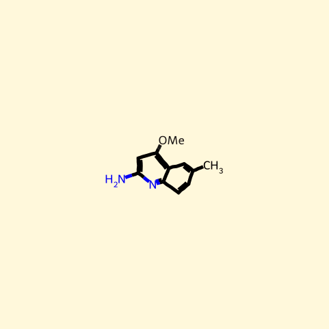 COc1cc(N)nc2ccc(C)cc12